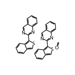 C=O.c1ccc2nc(-c3scc4ccccc34)ncc2c1.c1ccc2nc(-c3scc4ccccc34)ncc2c1